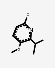 CSc1ccc(F)nc1C(C)C